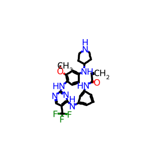 C=CC(=O)Nc1cccc(Nc2nc(Nc3ccc(NC4CCNCC4)cc3OC)ncc2C(F)(F)F)c1